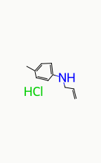 C=CCNc1ccc(C)cc1.Cl